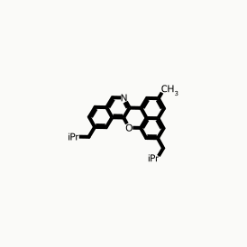 Cc1cc2c3c(cc(CC(C)C)cc3c1)Oc1c-2ncc2ccc(CC(C)C)cc12